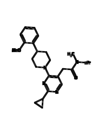 CCCN(C)C(=O)Cc1cnc(C2CC2)nc1N1CCC(c2ccccc2OC)CC1